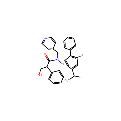 CC(C(=O)O)c1ccc(-c2ccccc2)c(F)c1.CCN(Cc1ccncc1)C(=O)C(CO)c1ccccc1